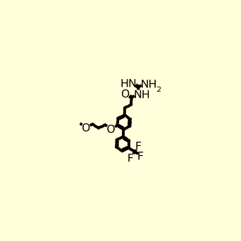 COCCCOc1cc(CCC(=O)NC(=N)N)ccc1-c1cccc(C(F)(F)F)c1